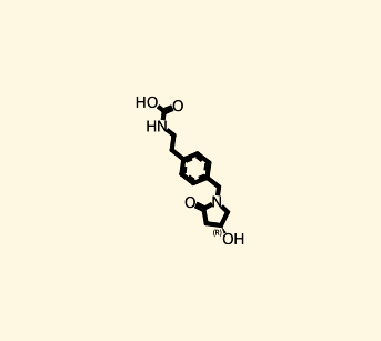 O=C(O)NCCc1ccc(CN2C[C@H](O)CC2=O)cc1